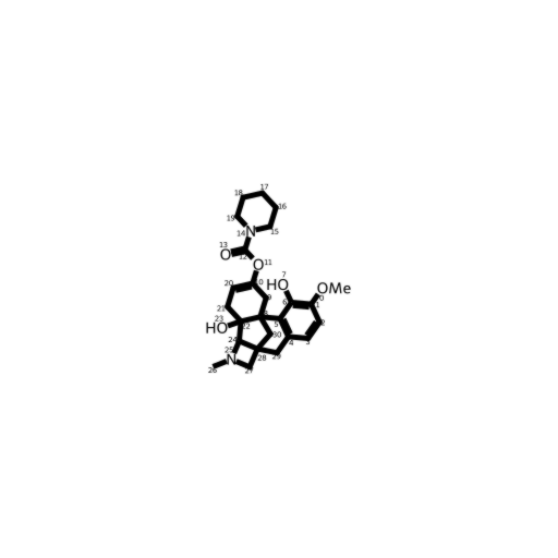 COc1ccc2c(c1O)C13CC(OC(=O)N4CCCCC4)=CCC1(O)C1N(C)CC1(C2)C3